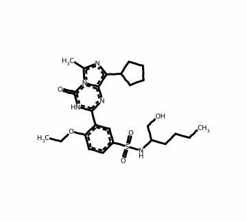 CCCCC(CO)NS(=O)(=O)c1ccc(OCC)c(-c2nc3c(C4CCCC4)nc(C)n3c(=O)[nH]2)c1